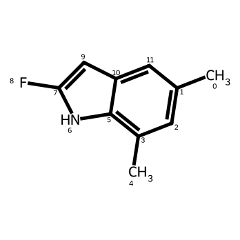 Cc1cc(C)c2[nH]c(F)cc2c1